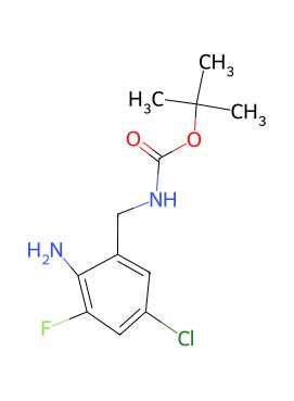 CC(C)(C)OC(=O)NCc1cc(Cl)cc(F)c1N